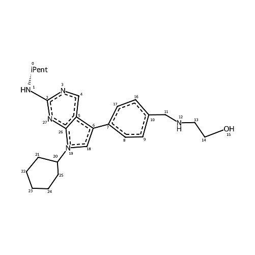 CCC[C@@H](C)Nc1ncc2c(-c3ccc(CNCCO)cc3)cn(C3CCCCC3)c2n1